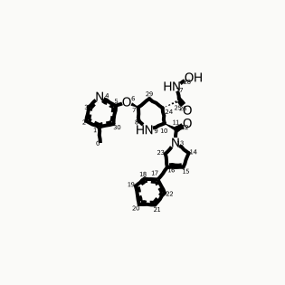 Cc1ccnc(O[C@@H]2CN[C@H](C(=O)N3CC=C(c4ccccc4)C3)[C@@H](C(=O)NO)C2)c1